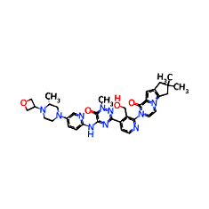 C[C@@H]1CN(c2ccc(Nc3nc(-c4ccnc(-n5ccn6c7c(cc6c5=O)CC(C)(C)C7)c4CO)nn(C)c3=O)nc2)CCN1C1COC1